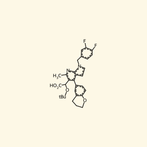 Cc1nc2c(ccn2Cc2ccc(F)c(F)c2)c(-c2ccc3c(c2)CCCO3)c1C(OC(C)(C)C)C(=O)O